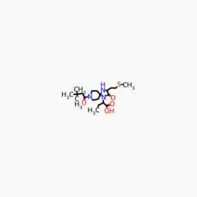 CCC(C(=O)O)N1C(=O)C(CCSC)NC12CCN(C(=O)CC(C)(C)C)CC2